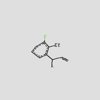 [CH2]C(C=C)c1cccc(F)c1CC